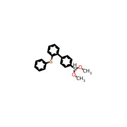 CO[SiH](OC)c1ccc(-c2ccccc2Sc2ccccc2)cc1